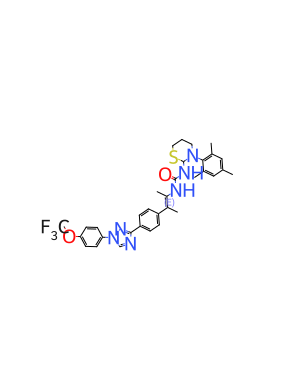 C/C(NC(=O)NC1SCCCN1c1c(C)cc(C)cc1C)=C(/C)c1ccc(-c2ncn(-c3ccc(OC(F)(F)F)cc3)n2)cc1